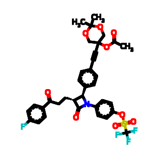 CC(=O)OC1(C#Cc2ccc([C@@H]3[C@@H](CCC(=O)c4ccc(F)cc4)C(=O)N3c3ccc(OS(=O)(=O)C(F)(F)F)cc3)cc2)COC(C)(C)OC1